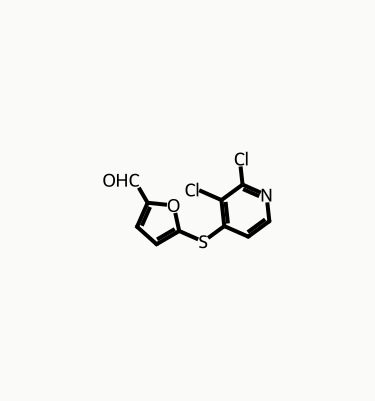 O=Cc1ccc(Sc2ccnc(Cl)c2Cl)o1